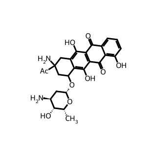 CC(=O)C1(N)Cc2c(O)c3c(c(O)c2C(O[C@H]2C[C@H](N)[C@@H](O)[C@@H](C)O2)C1)C(=O)c1c(O)cccc1C3=O